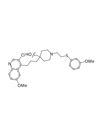 COc1cccc(SCCN2CCC(CCCc3c(Cl)cnc4ccc(OC)cc34)(C(=O)O)CC2)c1